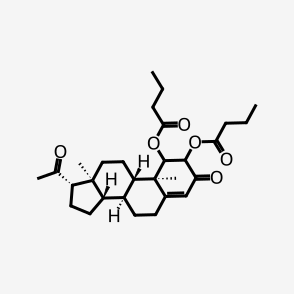 CCCC(=O)OC1C(=O)C=C2CC[C@H]3[C@@H]4CC[C@H](C(C)=O)[C@@]4(C)CC[C@@H]3[C@@]2(C)C1OC(=O)CCC